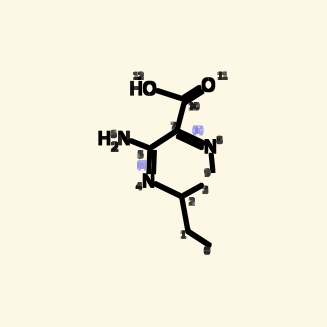 CCC(C)/N=C(N)\C(=N/C)C(=O)O